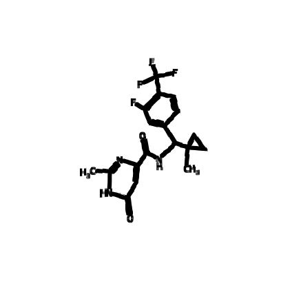 Cc1nc(C(=O)NC(c2ccc(C(F)(F)F)c(F)c2)C2(C)CC2)cc(=O)[nH]1